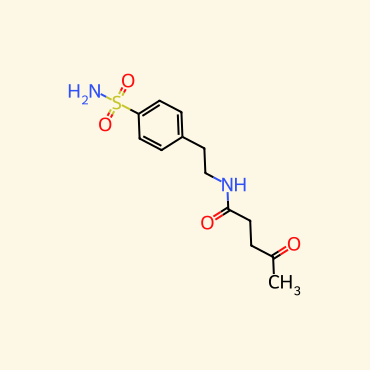 CC(=O)CCC(=O)NCCc1ccc(S(N)(=O)=O)cc1